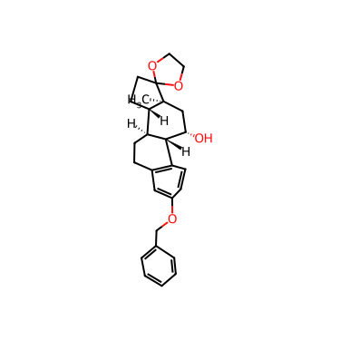 C[C@]12C[C@H](O)[C@@H]3c4ccc(OCc5ccccc5)cc4CC[C@H]3[C@@H]1CCC21OCCO1